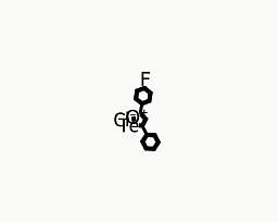 Fc1ccc(-c2cc(-c3ccccc3)[te][o+]2)cc1.[Cl-]